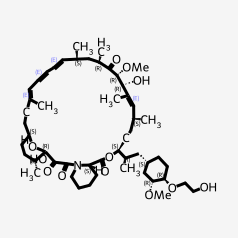 CO[C@@H]1C[C@H](C[C@@H](C)[C@@H]2CC[C@H](C)/C=C(\C)[C@@H](O)[C@@H](OC)C(=O)[C@H](C)C[C@H](C)/C=C/C=C/C=C(\C)CC[C@@H]3CC[C@@H](C)[C@@](O)(O3)C(=O)C(=O)N3CCCC[C@H]3C(=O)O2)CC[C@H]1OCCO